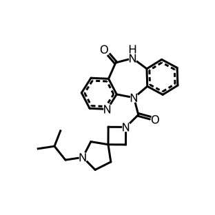 CC(C)CN1CCC2(C1)CN(C(=O)N1c3ccccc3NC(=O)c3cccnc31)C2